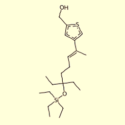 CCC(CC)(CC/C=C(\C)c1csc(CO)c1)O[Si](CC)(CC)CC